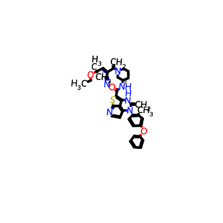 C=C(/C(C#N)=C/C(C)(C)OCC)N1CCC[C@@H](NC(=O)c2sc3nccc4c3c2[nH]c(=C)n4-c2ccc(Oc3ccccc3)cc2C)C1